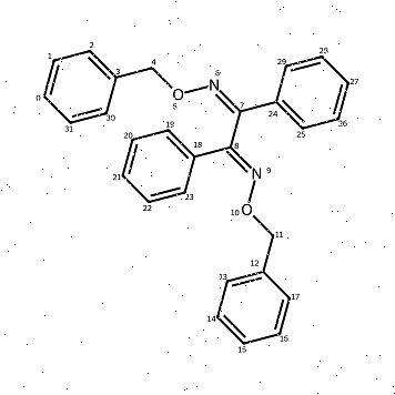 c1ccc(CON=C(C(=NOCc2ccccc2)c2ccccc2)c2ccccc2)cc1